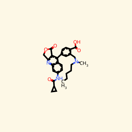 CCCCCN(C)Cc1cc(-c2c3c(nc4cc(NC(=O)C5CC5)ccc24)COC3=O)ccc1C(=O)O